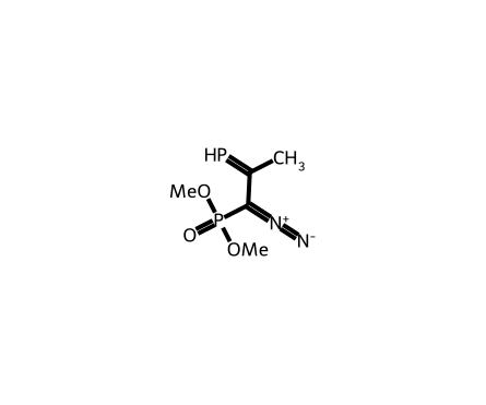 COP(=O)(OC)C(=[N+]=[N-])C(C)=P